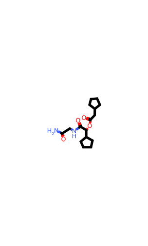 NC(=O)CNC(=O)C(OC(=O)CC1CCCC1)C1CCCC1